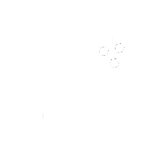 CCCCCCCCCCCCCCCCCCOc1ccc(O)c(-c2ccccc2)c1-c1ccccc1